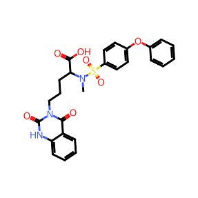 CN(C(CCCn1c(=O)[nH]c2ccccc2c1=O)C(=O)O)S(=O)(=O)c1ccc(Oc2ccccc2)cc1